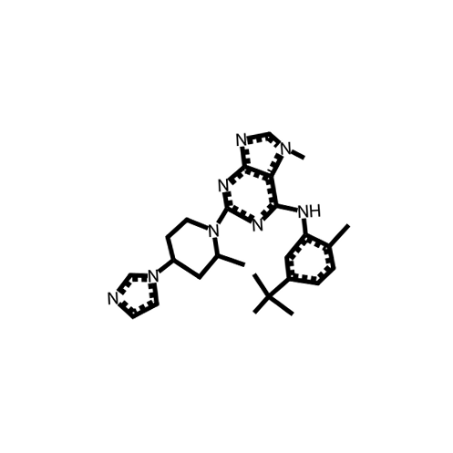 Cc1ccc(C(C)(C)C)cc1Nc1nc(N2CCC(n3ccnc3)CC2C)nc2ncn(C)c12